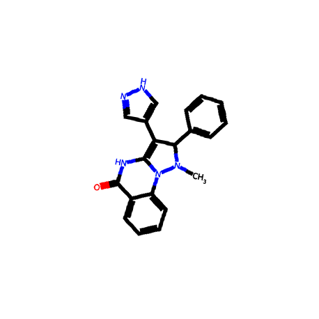 CN1C(c2ccccc2)C(c2cn[nH]c2)=C2NC(=O)c3ccccc3N21